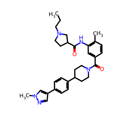 CCCN1CCC(C(=O)Nc2cc(C(=O)N3CCC(c4ccc(-c5cnn(C)c5)cc4)CC3)ccc2C)C1